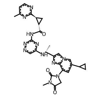 Cc1ccnc([C@H]2C[C@@H]2C(=O)Nc2nncc(N[C@H](C)c3cn4cc(C5CC5)cc(N5CC(=O)N(C)C5=O)c4n3)n2)n1